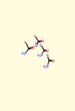 N[C](=O)[Ti].N[C](=O)[Ti].N[C](=O)[Ti].N[C](=O)[Ti]